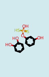 Oc1cccc(OP(O)(=S)S)c1.Oc1ccccc1O